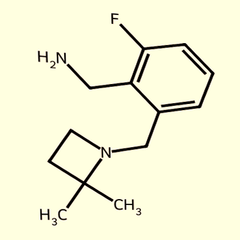 CC1(C)CCN1Cc1cccc(F)c1CN